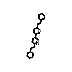 C(=Cc1ccc(-c2ccc(C=Cc3ccccc3)nc2)cn1)c1ccccc1